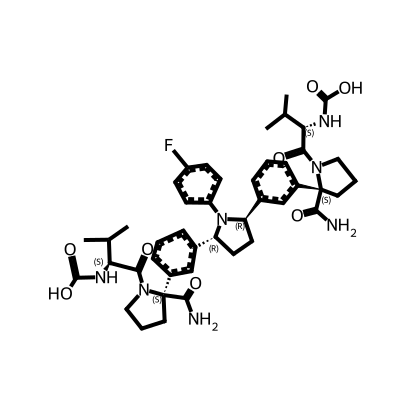 CC(C)[C@H](NC(=O)O)C(=O)N1CCC[C@@]1(C(N)=O)c1cccc([C@H]2CC[C@H](c3cccc([C@]4(C(N)=O)CCCN4C(=O)[C@@H](NC(=O)O)C(C)C)c3)N2c2ccc(F)cc2)c1